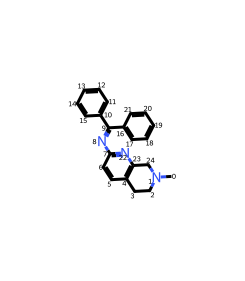 CN1CCc2ccc(N=C(c3ccccc3)c3ccccc3)nc2C1